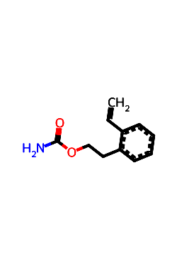 C=Cc1ccccc1CCOC(N)=O